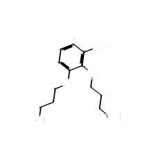 CCCCOc1cccc([SiH3])c1OCCCC